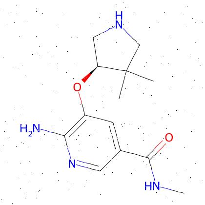 CNC(=O)c1cnc(N)c(O[C@H]2CNCC2(C)C)c1